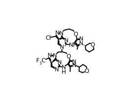 Cc1c2c(nn1C1CCOCC1)OCC([n+]1cc3c(Cl)nn4c3nc1Nc1c(nn([C@H]3CCCOC3)c1C)OCCC4)Cn1nc(C(F)(F)F)c3cnc(nc31)N2